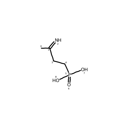 CC(=N)CCP(=O)(O)O